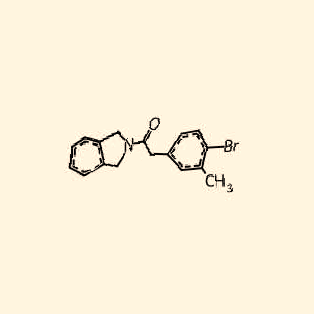 Cc1cc(CC(=O)N2Cc3ccccc3C2)ccc1Br